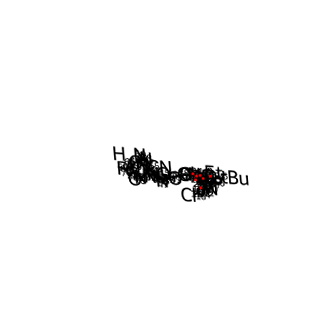 CCOc1cc(C(C)(C)C)ccc1C1=N[C@](C)(c2ccc(Cl)cc2)[C@](C)(c2ccc(Cl)cc2)N1C(=O)N1CCN(CCOCCOCCC(=O)N(C)CCn2nc3c(c2C#N)-c2cnc(N)c(n2)O[C@H](C)c2cc(F)ccc2C(=O)N(C)C3)CC1